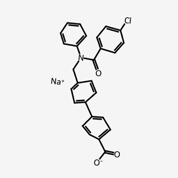 O=C([O-])c1ccc(-c2ccc(CN(C(=O)c3ccc(Cl)cc3)c3ccccc3)cc2)cc1.[Na+]